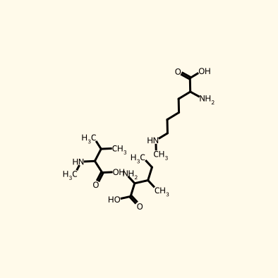 CCC(C)C(N)C(=O)O.CNC(C(=O)O)C(C)C.CNCCCCC(N)C(=O)O